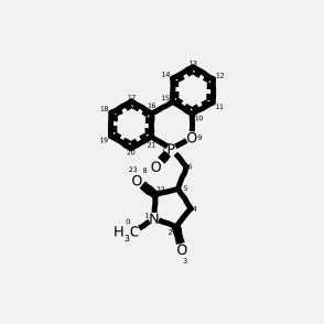 CN1C(=O)CC(CP2(=O)Oc3ccccc3-c3ccccc32)C1=O